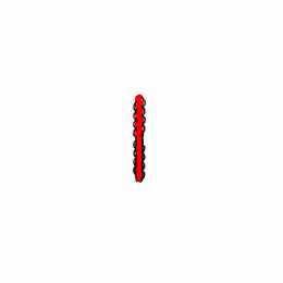 CC(C)OCC(=O)OCC(=O)OCC(=O)OCC(=O)OCC(=O)OCC(=O)OCC(=O)OCC(=O)OCCOCCOC(=O)COC(=O)COC(=O)COC(=O)COC(=O)COC(=O)COC(=O)COC(=O)COC(C)C